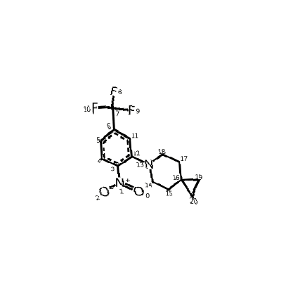 O=[N+]([O-])c1ccc(C(F)(F)F)cc1N1CCC2(CC1)CC2